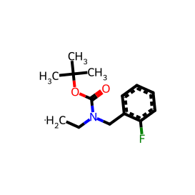 [CH2]CN(Cc1ccccc1F)C(=O)OC(C)(C)C